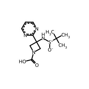 CC(C)(C)[S+]([O-])NC1(c2ncccn2)CN(C(=O)O)C1